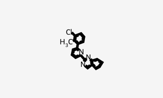 Cc1c(Cl)cccc1-c1cccc(-c2ncc3ccccc3n2)n1